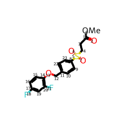 COC(=O)CCS(=O)(=O)c1ccc(COc2ccc(F)cc2F)cc1